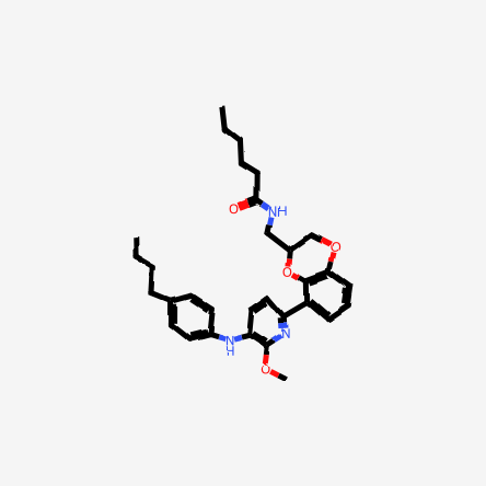 CCCCCC(=O)NCC1COc2cccc(-c3ccc(Nc4ccc(CCCC)cc4)c(OC)n3)c2O1